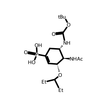 CCC(CC)O[C@@H]1C=C(P(=O)(O)O)C[C@H](NC(=O)OC(C)(C)C)[C@H]1NC(C)=O